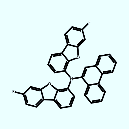 Fc1ccc2c(c1)oc1c(N(c3cc4ccccc4c4ccccc34)c3cccc4c3oc3cc(F)ccc34)cccc12